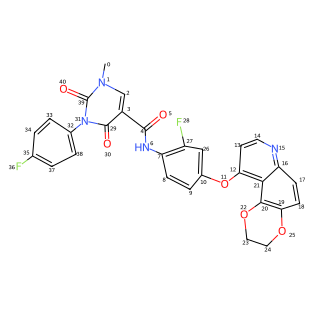 Cn1cc(C(=O)Nc2ccc(Oc3ccnc4ccc5c(c34)OCCO5)cc2F)c(=O)n(-c2ccc(F)cc2)c1=O